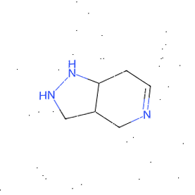 C1=NCC2CNNC2C1